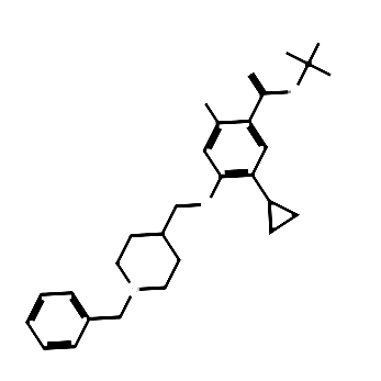 CC(C)(C)OC(=O)c1cc(C2CC2)c(OCC2CCN(Cc3ccccc3)CC2)cc1F